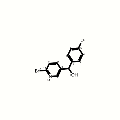 OC(c1ccc(F)cc1)c1ccc(Br)nc1